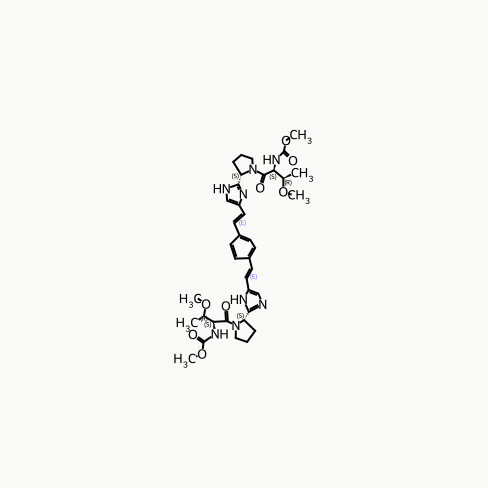 COC(=O)N[C@H](C(=O)N1CCC[C@H]1c1nc(/C=C/c2ccc(/C=C/c3cnc([C@@H]4CCCN4C(=O)[C@@H](NC(=O)OC)[C@@H](C)OC)[nH]3)cc2)c[nH]1)[C@@H](C)OC